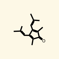 CC(C)=CC1=C(C)C(=O)C(C)=C1C=C(C)C